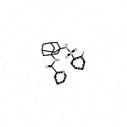 O=C(NC12CC3CC(C1)CC(NS(=O)(=O)c1ccccc1F)(C3)C2)c1ccccn1